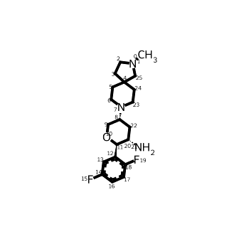 CN1CCC2(CCN([C@H]3CO[C@H](c4cc(F)ccc4F)[C@@H](N)C3)CC2)C1